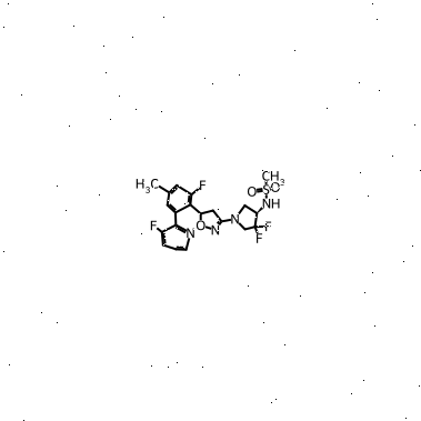 Cc1cc(F)c(C2CC(N3C[C@@H](NS(C)(=O)=O)C(F)(F)C3)=NO2)c(-c2ncccc2F)c1